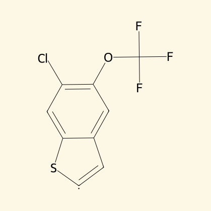 FC(F)(F)Oc1cc2c[c]sc2cc1Cl